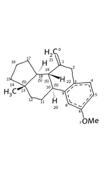 C=C1Cc2c[c]c(OC)cc2[C@H]2CC[C@]3(C)CCC[C@H]3[C@H]12